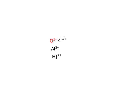 [Al+3].[Hf+4].[O-2].[Zr+4]